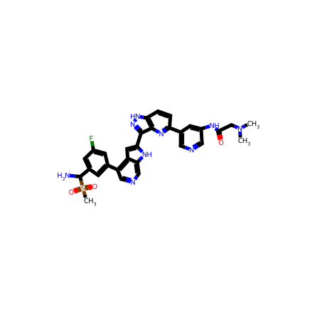 CN(C)CC(=O)Nc1cncc(-c2ccc3[nH]nc(-c4cc5c(-c6cc(F)cc(C(N)S(C)(=O)=O)c6)cncc5[nH]4)c3n2)c1